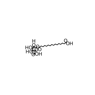 O=C(O)CCCCCCCCCCCCCCC(=O)OC1O[C@H](C(=O)O)[C@@H](O)[C@H](O)[C@H]1O